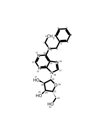 CCN(Cc1ccccc1)c1ncnc2c1ncn2[C@@H]1O[C@H](CO)[C@@H](O)[C@H]1O